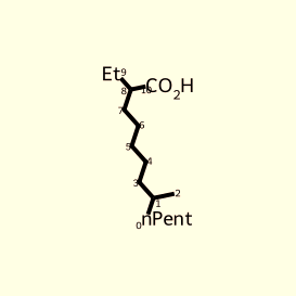 CCCCCC(C)CCCCCC(CC)C(=O)O